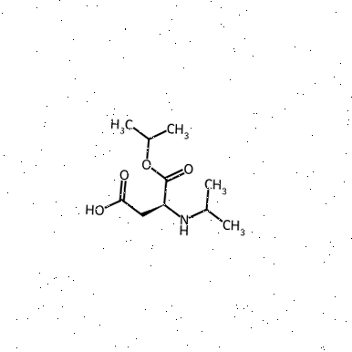 CC(C)N[C@@H](CC(=O)O)C(=O)OC(C)C